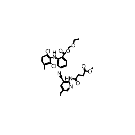 CCOCOC(=O)c1ccccc1Nc1c(Cl)ccc(C)c1Cl.COC(=O)CCC(=O)Nc1ncc(I)cc1C#N